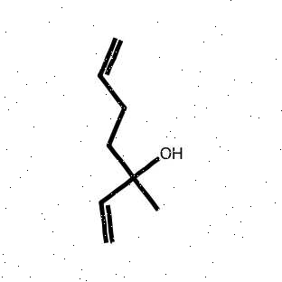 [CH]=CC(C)(O)CCC=C